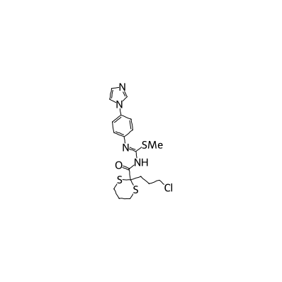 CS/C(=N\c1ccc(-n2ccnc2)cc1)NC(=O)C1(CCCCl)SCCCS1